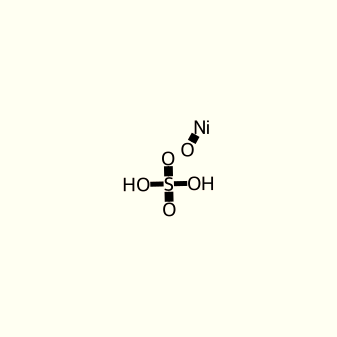 O=S(=O)(O)O.[O]=[Ni]